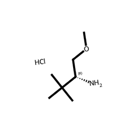 COC[C@H](N)C(C)(C)C.Cl